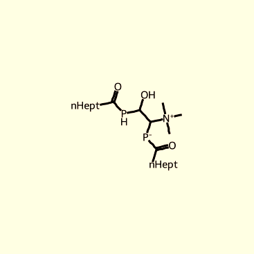 CCCCCCCC(=O)[P-]C(C(O)PC(=O)CCCCCCC)[N+](C)(C)C